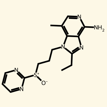 CCc1nc2c(N)ncc(C)c2n1CCC[S+]([O-])c1ncccn1